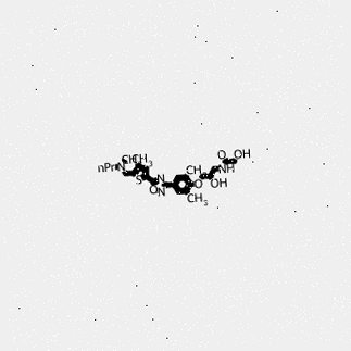 CCCN(C)Cc1sc(-c2nc(-c3cc(C)c(OCC(O)CNC(=O)CO)c(C)c3)no2)cc1C